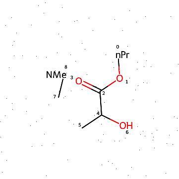 CCCOC(=O)C(C)O.CNC